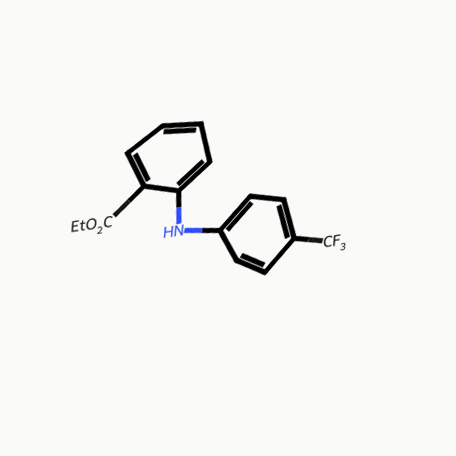 CCOC(=O)c1ccccc1Nc1ccc(C(F)(F)F)cc1